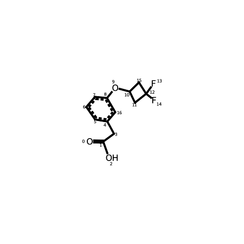 O=C(O)Cc1cccc(OC2CC(F)(F)C2)c1